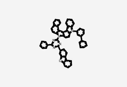 c1ccc(-c2cccc(-n3c4ccccc4c4c5c6c7ccccc7ccc6n(-c6nc(-c7ccccc7)nc(-c7ccc8c(c7)oc7ccccc78)n6)c5ccc43)c2)cc1